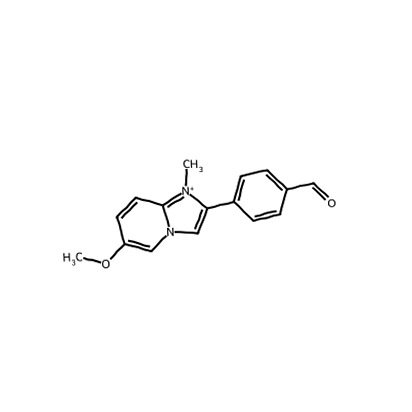 COc1ccc2n(c1)cc(-c1ccc(C=O)cc1)[n+]2C